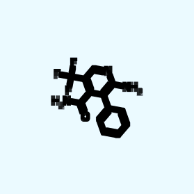 NC(=O)c1c(C(F)(F)F)cnc(N)c1-c1ccccc1